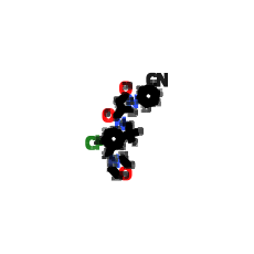 CC1(C)CN(C(=O)C2CC(=O)N(c3cccc(C#N)c3)C2)c2cc(Cl)c(CN3CCOCC3)cc21